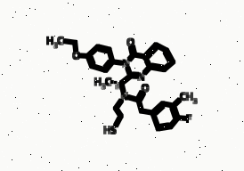 CCOc1ccc(-n2c([C@@H](C)N(CCS)C(=O)Cc3ccc(F)c(C)c3)nc3ccccc3c2=O)cc1